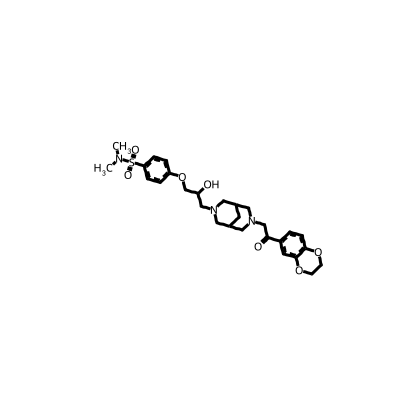 CN(C)S(=O)(=O)c1ccc(OCC(O)CN2CC3CC(CN(CC(=O)c4ccc5c(c4)OCCO5)C3)C2)cc1